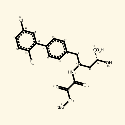 CC(C)(C)OC(=O)C(=O)NN(Cc1ccc(-c2cc(Cl)ccc2F)cc1)C[C@@H](O)C(=O)O